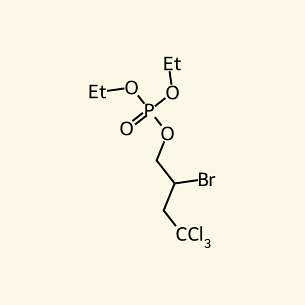 CCOP(=O)(OCC)OCC(Br)CC(Cl)(Cl)Cl